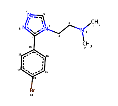 CN(C)CCn1cnnc1-c1ccc(Br)cc1